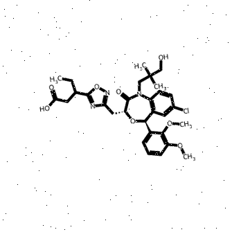 CCC(CC(=O)O)c1nc(C[C@H]2O[C@H](c3cccc(OC)c3OC)c3cc(Cl)ccc3N(CC(C)(C)CO)C2=O)no1